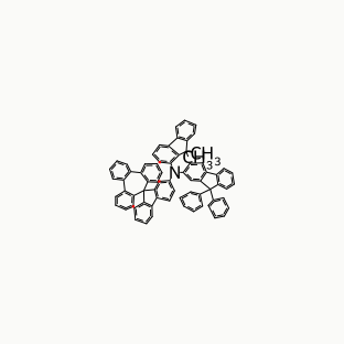 CC1(C)c2ccccc2-c2cccc(N(c3ccc4c(c3)C(c3ccccc3)(c3ccccc3)c3ccccc3-4)c3ccc4c(c3)C3(c5ccccc5-c5ccccc5-c5ccccc53)c3ccccc3-4)c21